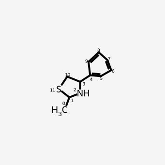 CC1NC(c2ccccc2)CS1